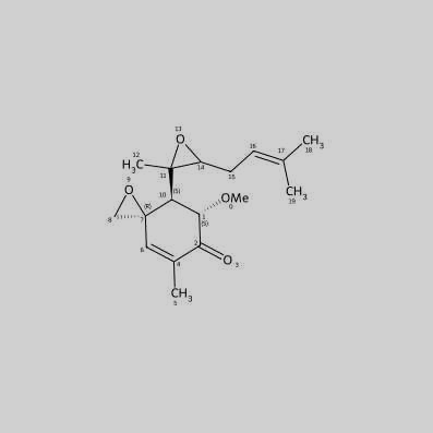 CO[C@@H]1C(=O)C(C)=C[C@]2(CO2)[C@H]1C1(C)OC1CC=C(C)C